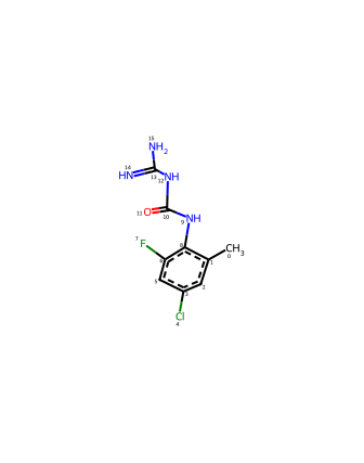 Cc1cc(Cl)cc(F)c1NC(=O)NC(=N)N